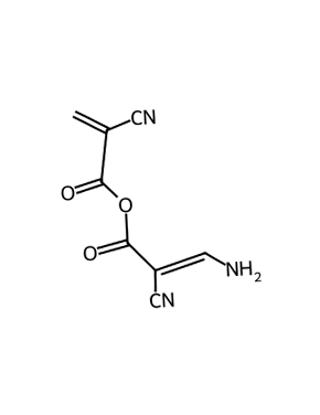 C=C(C#N)C(=O)OC(=O)C(C#N)=CN